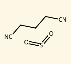 N#CCCCC#N.O=S=O